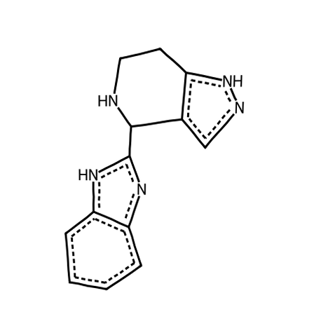 c1ccc2[nH]c(C3NCCc4[nH]ncc43)nc2c1